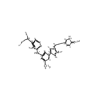 Cc1cc(Nc2nccc(C(F)F)n2)cc(-c2cn(Cc3ccc(=O)[nH]c3)nn2)c1